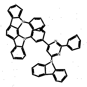 c1ccc(-c2nc(-c3cccc(-n4c5ccccc5c5ccc6c7ccccc7n(-c7ccccc7)c6c54)c3)cc(-n3c4ccccc4c4ccccc43)n2)cc1